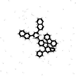 C1=CC2C=CC(c3cc(-c4ccc5ccccc5c4)nc(-c4ccc5c(c4)C4(c6ccccc6-c6ccccc64)c4c-5c(-c5ccccc5)cc5ccccc45)n3)=CC2C=C1